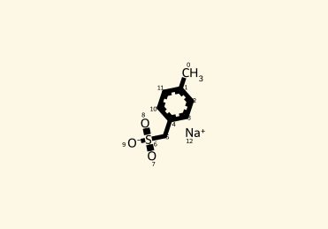 Cc1ccc(CS(=O)(=O)[O-])cc1.[Na+]